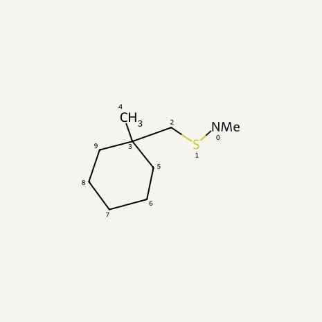 CNSCC1(C)CCCCC1